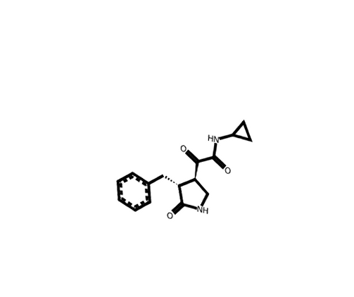 O=C(NC1CC1)C(=O)[C@H]1CNC(=O)[C@@H]1Cc1ccccc1